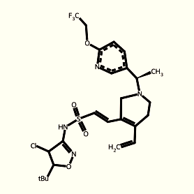 C=CC1=C(/C=C/S(=O)(=O)NC2=NOC(C(C)(C)C)C2Cl)CN([C@H](C)c2ccc(OCC(F)(F)F)nc2)CC1